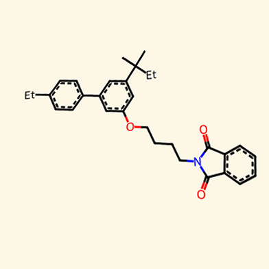 CCc1ccc(-c2cc(OCCCCN3C(=O)c4ccccc4C3=O)cc(C(C)(C)CC)c2)cc1